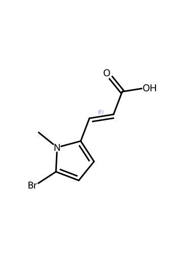 Cn1c(Br)ccc1/C=C/C(=O)O